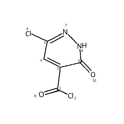 O=C(Cl)c1cc(Cl)n[nH]c1=O